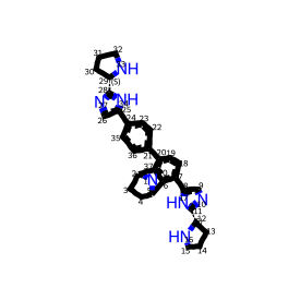 CN1C2CCC1c1c(-c3cnc([C@@H]4CCCN4)[nH]3)ccc(-c3ccc(-c4cnc([C@@H]5CCCN5)[nH]4)cc3)c12